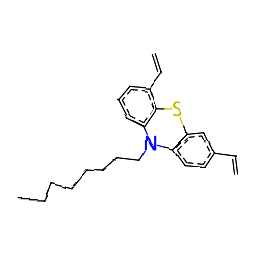 C=Cc1ccc2c(c1)Sc1c(C=C)cccc1N2CCCCCCCC